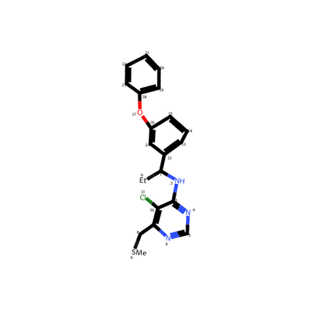 CCC(Nc1ncnc(CSC)c1Cl)c1cccc(Oc2ccccc2)c1